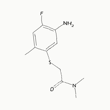 Cc1cc(F)c(N)cc1SCC(=O)N(C)C